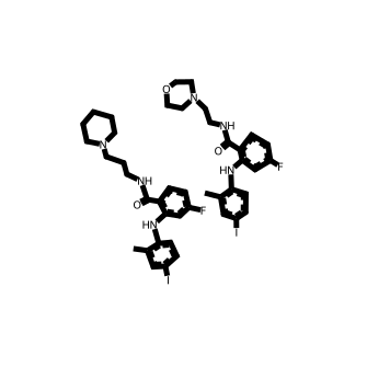 Cc1cc(I)ccc1Nc1cc(F)ccc1C(=O)NCCCN1CCCCC1.Cc1cc(I)ccc1Nc1cc(F)ccc1C(=O)NCCN1CCOCC1